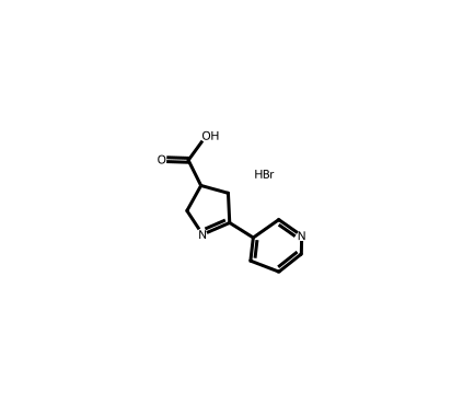 Br.O=C(O)C1CN=C(c2cccnc2)C1